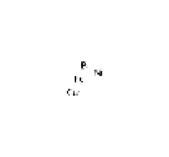 [B].[Cu].[Fe].[Ni]